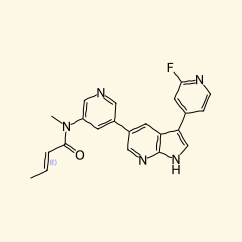 C/C=C/C(=O)N(C)c1cncc(-c2cnc3[nH]cc(-c4ccnc(F)c4)c3c2)c1